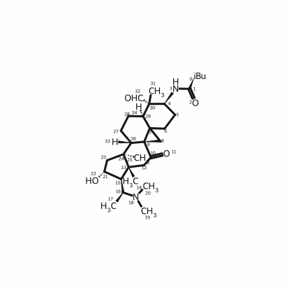 CC[C@H](C)C(=O)N[C@H]1CCC23C[C@]24C(=O)C[C@]2(C)[C@@H]([C@H](C)N(C)C)[C@H](O)C[C@@]2(C)[C@@H]4CC[C@H]3[C@]1(C)C=O